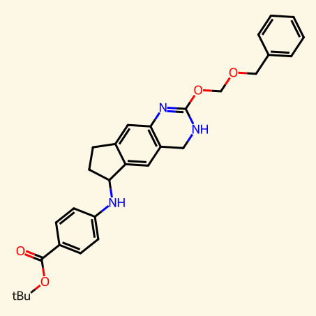 CC(C)(C)OC(=O)c1ccc(NC2CCc3cc4c(cc32)CNC(OCOCc2ccccc2)=N4)cc1